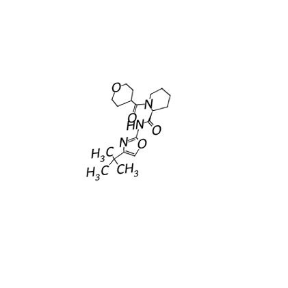 CC(C)(C)c1coc(NC(=O)[C@@H]2CCCCN2C(=O)C2CCOCC2)n1